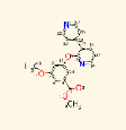 COC(=O)c1cc(OC)cc(Oc2ncccc2-c2ccncc2)c1